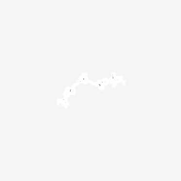 Cc1c(F)cc(C2CCC(OC(=O)CCCCCCOC(=O)OCCCCCCC(=O)OC3CCC(c4cc(F)c(C(F)(F)F)c(F)c4)CC3)CC2)cc1F